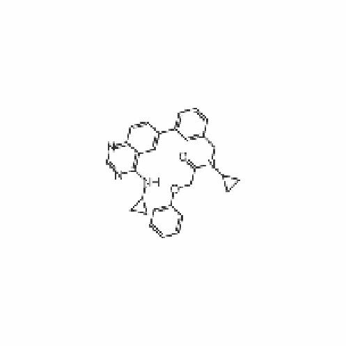 O=C(COc1ccccc1)N(Cc1cccc(-c2ccc3ncnc(NC4CC4)c3c2)c1)C1CC1